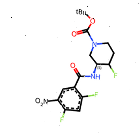 CC(C)(C)OC(=O)N1CCC(F)[C@@H](NC(=O)c2cc([N+](=O)[O-])c(F)cc2F)C1